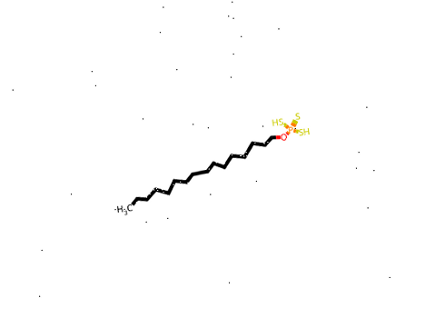 CCCCCCCCCCCCCCCCOP(=S)(S)S